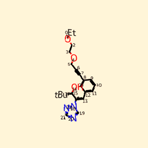 [CH2]COCCOCC#Cc1cccc(/C=C(\C(O)C(C)(C)C)n2cncn2)c1